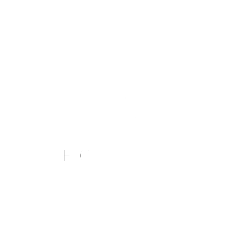 [CH2]C(CC(F)(F)F)c1cccc2ccccc12